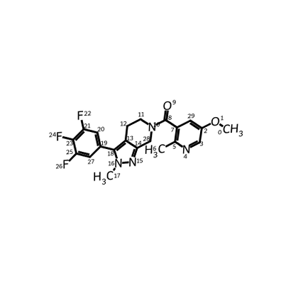 COc1cnc(C)c(C(=O)N2CCc3c(nn(C)c3-c3cc(F)c(F)c(F)c3)C2)c1